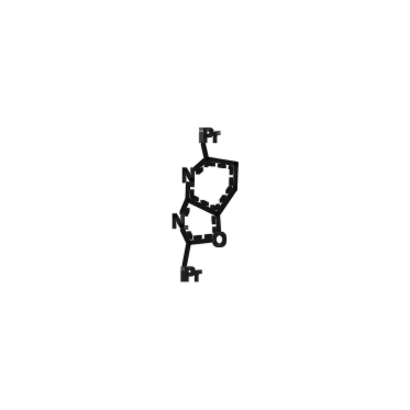 CC(C)c1ccc2oc(C(C)C)nc2n1